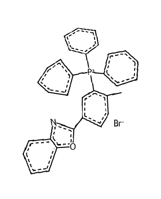 Cc1ccc(-c2nc3ccccc3o2)cc1[P+](c1ccccc1)(c1ccccc1)c1ccccc1.[Br-]